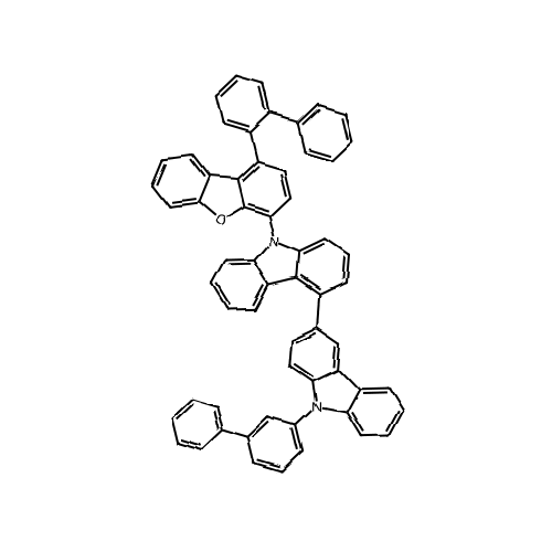 c1ccc(-c2cccc(-n3c4ccccc4c4cc(-c5cccc6c5c5ccccc5n6-c5ccc(-c6ccccc6-c6ccccc6)c6c5oc5ccccc56)ccc43)c2)cc1